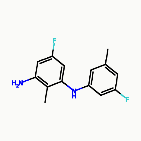 Cc1cc(F)cc(Nc2cc(F)cc(N)c2C)c1